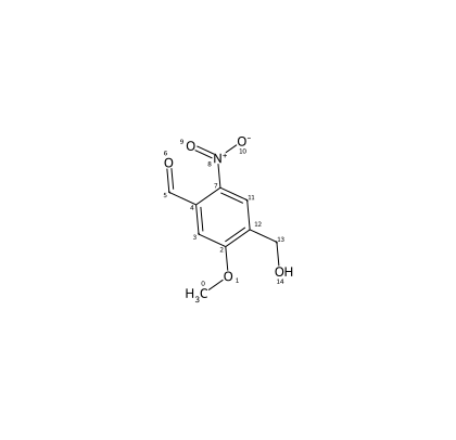 COc1cc(C=O)c([N+](=O)[O-])cc1CO